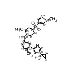 C[C@@H]1CN(S(=O)(=O)c2cnn(C)c2)CC[C@@H]1Nc1ncc(C(F)(F)F)c(-c2ncc(C3(O)CC3)s2)n1